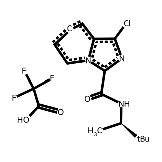 C[C@@H](NC(=O)c1nc(Cl)c2ccccn12)C(C)(C)C.O=C(O)C(F)(F)F